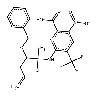 C=CCC(OCc1ccccc1)C(C)(C)Nc1nc(C(=O)O)c([N+](=O)[O-])cc1C(F)(F)F